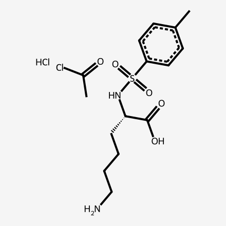 CC(=O)Cl.Cc1ccc(S(=O)(=O)N[C@@H](CCCCN)C(=O)O)cc1.Cl